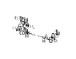 CN(Cc1cnc2nc(N)nc(N)c2n1)c1ccc(C(=O)C(C)(C)N[C@@H](CCC(=O)NCCCCCCCCCCCNC(=O)COc2cccc3c2C(=O)N(C2CCC(=O)NC2=O)C3=O)C(=O)O)cc1